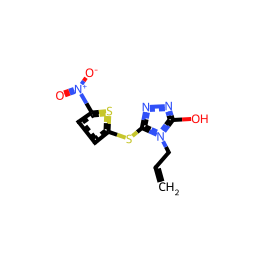 C=CCn1c(O)nnc1Sc1ccc([N+](=O)[O-])s1